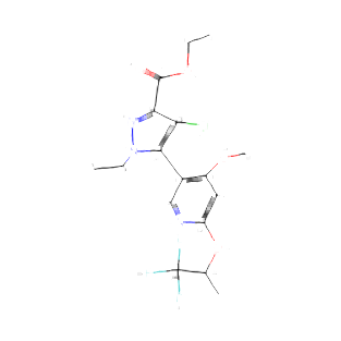 CCOC(=O)c1nn(CC)c(-c2cnc(OC(C)C(F)(F)F)cc2OC)c1Cl